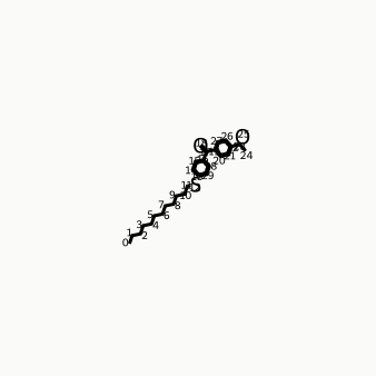 CCCCCCCCCCCCSc1ccc(C(=O)c2ccc(C(C)=O)cc2)cc1